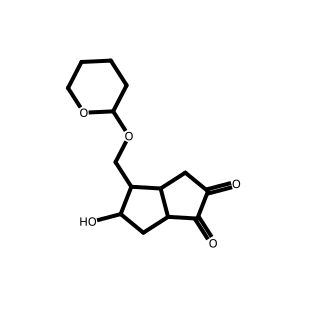 O=C1CC2C(CC(O)C2COC2CCCCO2)C1=O